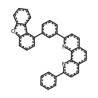 c1ccc(-c2ccc3ccc4ccc(-c5cccc(-c6cccc7oc8ccccc8c67)c5)nc4c3n2)cc1